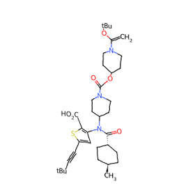 C=C(OC(C)(C)C)N1CCC(OC(=O)N2CCC(N(c3cc(C#CC(C)(C)C)sc3C(=O)O)C(=O)[C@H]3CC[C@H](C)CC3)CC2)CC1